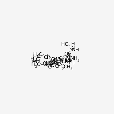 C#CCCC1(CCC(=O)O[C@H]2C[C@@H](O[C@@H]3C[C@](O)([C@@H](C)[C@H](O)[C@H](C)[C@H]4OC(=O)/C(OC)=C/C(C)=C/[C@@H](C)[C@@H](O)[C@@H](C)[C@@H](O)[C@H](C)C/C(C)=C/C=C/[C@@H]4OC)O[C@H](/C=C/C)[C@H]3C)O[C@@H](C)[C@@H]2OC(N)=O)NN1